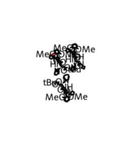 COc1cccc(OC)c1-c1cc(C(=O)N[C@@H](CCN2C3CCC2CC3)CC(=O)OC(C)(C)C)nn1C1CCCC1.COc1cccc(OC)c1-c1cc(C(=O)N[C@@H](CCN2CCCC2)CC(=O)NC2CCC2)nn1C1CCCC1.COc1cccc(OC)c1-c1cc(C(=O)N[C@@H](CCN2CCCCCC2)CC(=O)OC(C)(C)C)nn1C1CCCC1